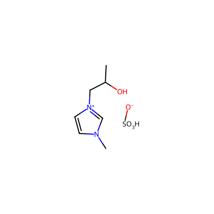 CC(O)C[n+]1ccn(C)c1.O=S(=O)([O-])O